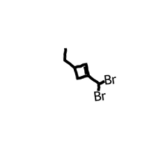 CCC1C=C(C(Br)Br)C1